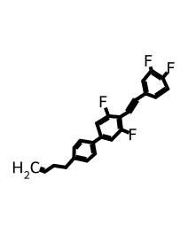 C=CCCc1ccc(-c2cc(F)c(C#Cc3ccc(F)c(F)c3)c(F)c2)cc1